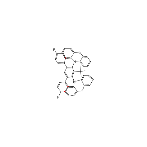 CC(C)(C)c1c(N2c3ccccc3Sc3ccccc32)c(-c2ccc(F)cc2)cc(-c2ccc(F)cc2)c1N1c2ccccc2Sc2ccccc21